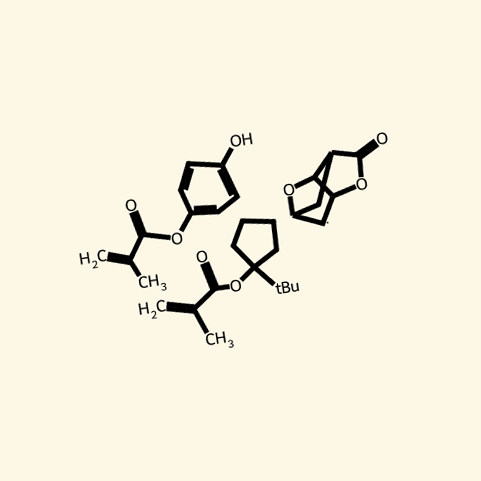 C=C(C)C(=O)OC1(C(C)(C)C)CCCC1.C=C(C)C(=O)Oc1ccc(O)cc1.O=C1OC2[CH]C3CC1C2O3